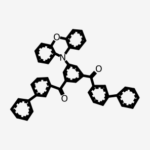 O=C(c1cccc(-c2ccccc2)c1)c1cc(C(=O)c2cccc(-c3ccccc3)c2)cc(N2c3ccccc3Oc3ccccc32)c1